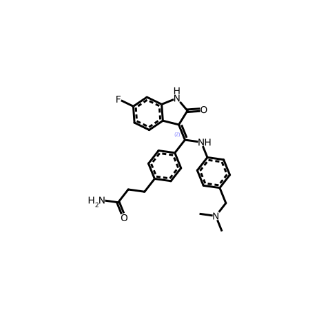 CN(C)Cc1ccc(N/C(=C2\C(=O)Nc3cc(F)ccc32)c2ccc(CCC(N)=O)cc2)cc1